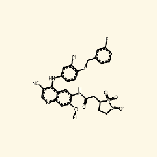 CCOc1cc2ncc(C#N)c(Nc3ccc(OCc4cccc(F)c4)c(Cl)c3)c2cc1NC(=O)CC1CC[S+]([O-])S1(=O)=O